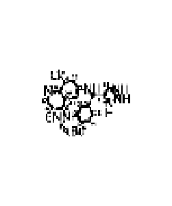 CC(C)(C)CNc1c(C#N)cnc2c(Cl)cc(N[C@H](C3=CNNN3)c3ccc(F)cc3)cc12